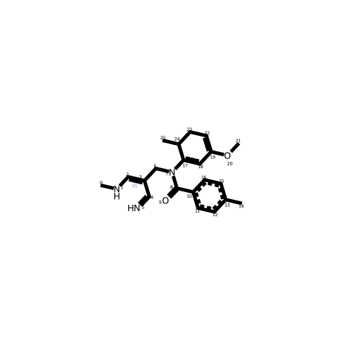 CN/C=C(\C=N)CN(C(=O)c1ccc(C)cc1)C1=CC(OC)=CCC1C